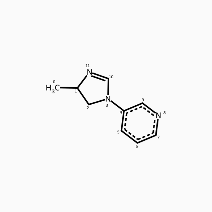 CC1CN(c2cccnc2)C=N1